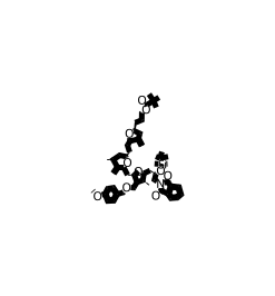 C=C1C[C@H](CCCOC(=O)C(C)(C)C)OC1CC[C@H]1C[C@@H](C)C(=C)C(C[C@@H]2OC(C[C@@H](CN3C(=O)c4ccccc4C3=O)O[Si](C)(C)C(C)(C)C)[C@H](C)C2COCc2ccc(OC)cc2)O1